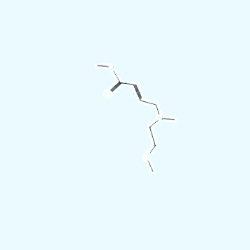 COCCN(C)C/C=C/C(=O)OC